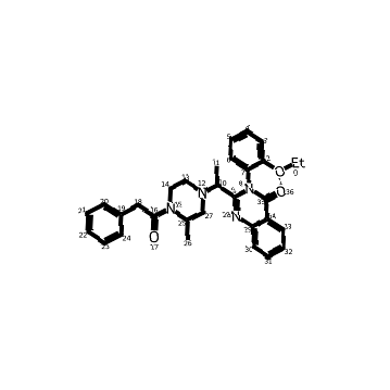 CCOc1ccccc1-n1c(C(C)N2CCN(C(=O)Cc3ccccc3)C(C)C2)nc2ccccc2c1=O